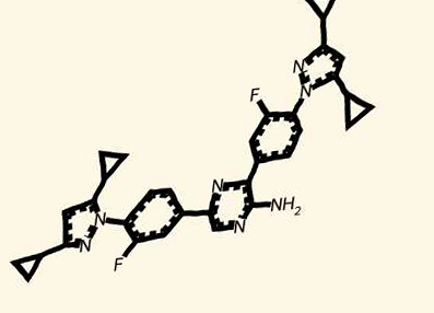 Nc1ncc(-c2ccc(-n3nc(C4CC4)cc3C3CC3)c(F)c2)nc1-c1ccc(-n2nc(C3CC3)cc2C2CC2)c(F)c1